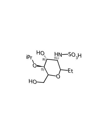 CCC1OC(CO)[C@@H](OC(C)C)[C@H](O)[C@@H]1NS(=O)(=O)O